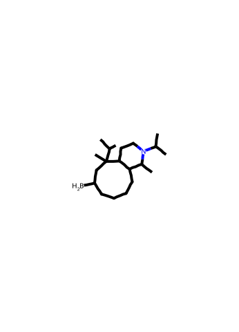 BC1CCCCC2C(C)N(C(C)C)CCC2C(C)(C(C)C)C1